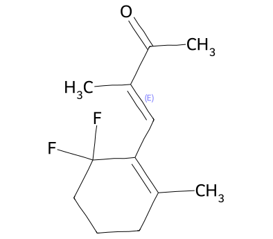 CC(=O)/C(C)=C/C1=C(C)CCCC1(F)F